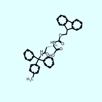 Cc1ccc(C(NC(=O)C[C@H](NC(=O)OCC2c3ccccc3-c3ccccc32)C(=O)O)(c2ccccc2)c2ccccc2)cc1